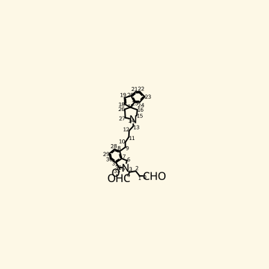 O=CCCC(C=O)N1Cc2c(CCCCCN3CCC4(C=Cc5ccccc54)CC3)cccc2C1=O